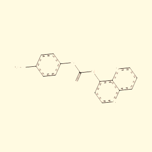 CSc1ccc(NC(=O)Nc2ccnc3cccnc23)cc1.Cl